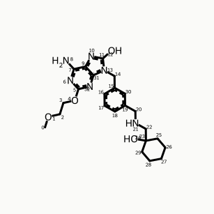 COCCOc1nc(N)c2nc(O)n(Cc3cccc(CNCC4(O)CCCCC4)c3)c2n1